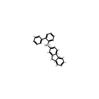 c1ccc(-c2ccccc2Nc2ccc3c(c2)Cc2ccccc2-3)cc1